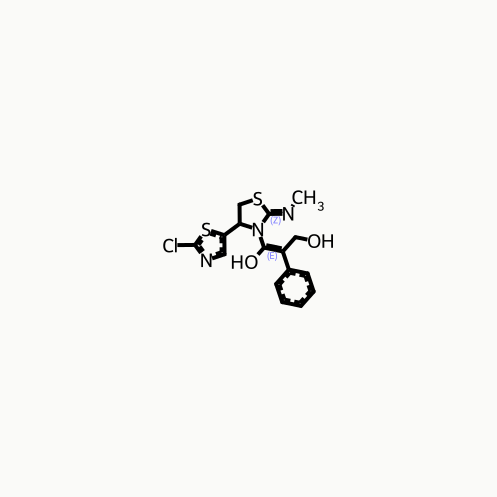 C/N=C1\SCC(c2cnc(Cl)s2)N1/C(O)=C(\CO)c1ccccc1